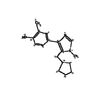 Cc1nc(-c2ncn(C)c2C[C]2CCCC2)ccc1O